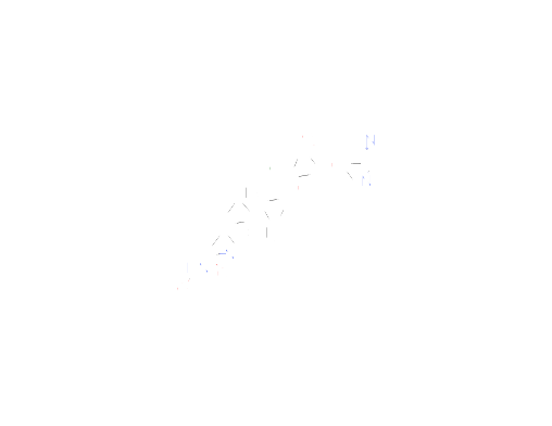 Cc1c(COc2cc(OCc3cncc(C#N)c3)c(C=O)cc2Cl)cccc1-c1cccc(-c2ccc(C(=O)NCC=O)nc2)c1C